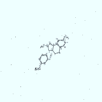 COc1ccc([C@H]2[C@@H]3CCc4ccc(C)cc4C3=NN2C(C)=O)cc1